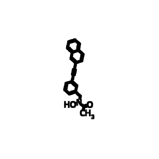 CC(=O)N(O)Cc1cccc(C#Cc2ccc3ccccc3c2)c1